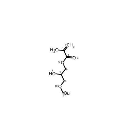 C=C(C)C(=O)OCC(O)CO[CH]CCC